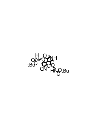 CC1=C(C(=O)OCCNC(=O)OC(C)(C)C)C(c2cccc(C#N)c2)C(C(=O)OCCNC(=O)OC(C)(C)C)=C(C)N1